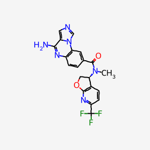 CN(C(=O)c1ccc2nc(N)c3cncn3c2c1)[C@@H]1COc2nc(C(F)(F)F)ccc21